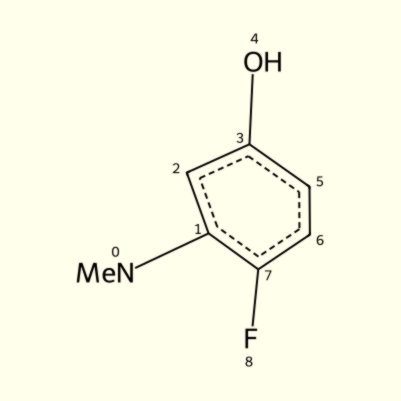 CNc1cc(O)ccc1F